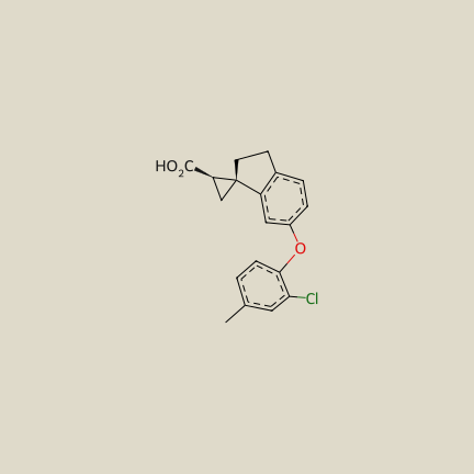 Cc1ccc(Oc2ccc3c(c2)[C@]2(CC3)C[C@H]2C(=O)O)c(Cl)c1